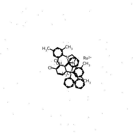 Cc1cc(C)c(N2CCN(c3c(C)cc(C)cc3C)C2=C2C(Cl)=C(Cl)C=CC2P(=Cc2ccccc2)(c2ccccc2)c2ccccc2)c(C)c1.[Ru+2]